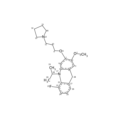 COc1cc2c(cc1OCCCN1CCCC1)N(C(C)C)c1c(F)cccc1C2